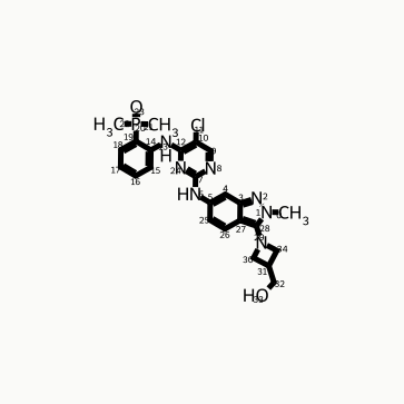 Cn1nc2cc(Nc3ncc(Cl)c(Nc4ccccc4P(C)(C)=O)n3)ccc2c1N1CC(CO)C1